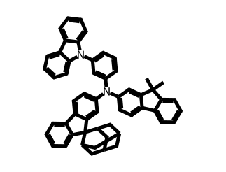 CC1(C)c2ccccc2-c2ccc(N(c3cccc(-n4c5ccccc5c5ccccc54)c3)c3ccc4c(c3)C3(c5ccccc5-4)C4CC5CC(C4)CC3C5)cc21